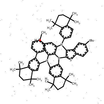 Cc1ccc(-c2cc3c(cc2N2c4cc5c(cc4B4c6sc7ccc(C(C)(C)C)cc7c6N(c6ccc7c(c6)C(C)(C)CCC7(C)C)c6cc(C)cc2c64)C(C)(C)CCC5(C)C)C(C)(C)CCC3(C)C)cc1